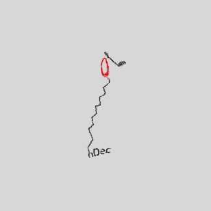 C=CC(=C)OCCCCCCCCCCCCCCCCCCCCCC